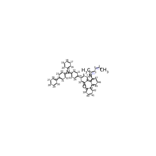 C/C=C\C=C(/C)n1c2cc(-c3ccc(N(c4ccccc4)c4ccc(-c5ccccc5)cc4)cc3)cc3oc4ccccc4c4cccc1c4c32